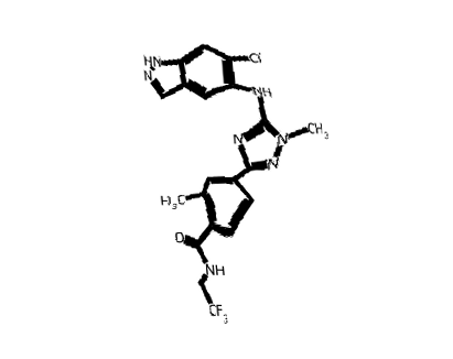 Cc1cc(-c2nc(Nc3cc4cn[nH]c4cc3Cl)n(C)n2)ccc1C(=O)NCC(F)(F)F